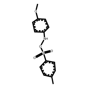 COc1ccc(NOS(=O)(=O)c2ccc(C)cc2)cc1